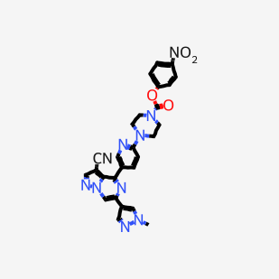 Cn1cc(-c2cn3ncc(C#N)c3c(-c3ccc(N4CCN(C(=O)Oc5ccc([N+](=O)[O-])cc5)CC4)nc3)n2)cn1